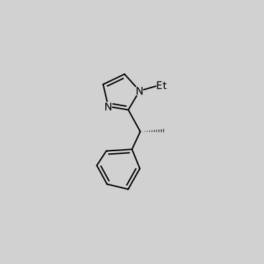 CCn1ccnc1[C@H](C)c1ccccc1